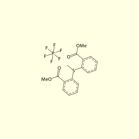 COC(=O)c1ccccc1[S+](C)c1ccccc1C(=O)OC.F[P-](F)(F)(F)(F)F